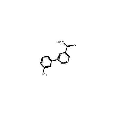 CCCC(C(=O)O)c1cccc(-c2cccc(C)c2)c1